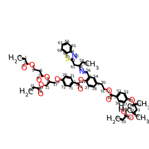 C=CC(=O)OCCC(=O)OC(COC(=O)C=C)COc1ccc(C(=O)Oc2ccc(CCOC(=O)c3ccc(OC(C)(C)CC(C)(C)OC(=O)C=C)cc3)cc2/C=N/C(CC)Cc2nc3ccccc3s2)cc1